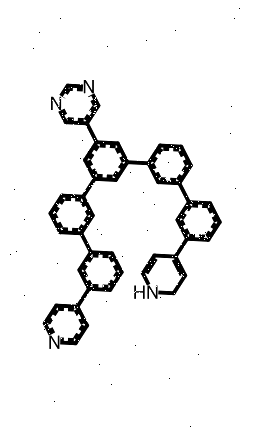 C1=CC(c2cccc(-c3cccc(-c4cc(-c5cncnc5)cc(-c5cccc(-c6cccc(-c7ccncc7)c6)c5)c4)c3)c2)=CCN1